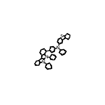 c1ccc(N(c2ccc(-c3cccc4c5c6ccccc6n(-c6ccccc6)c5n(-c5ccccc5)c34)cc2)c2ccc3sc4ccccc4c3c2)cc1